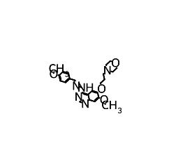 COc1ccc(C=NNc2ncnc3cc(OC)c(OCCCN4CCOCC4)cc23)cc1